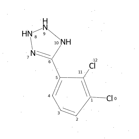 Clc1cccc(C2=NNNN2)c1Cl